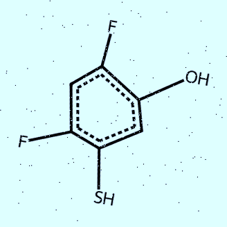 Oc1cc(S)c(F)cc1F